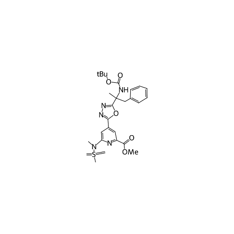 C=S(=C)(C)N(C)c1cc(-c2nnc(C(C)(Cc3ccccc3)NC(=O)OC(C)(C)C)o2)cc(C(=O)OC)n1